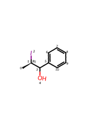 C[C@@H](I)C(O)c1ccccc1